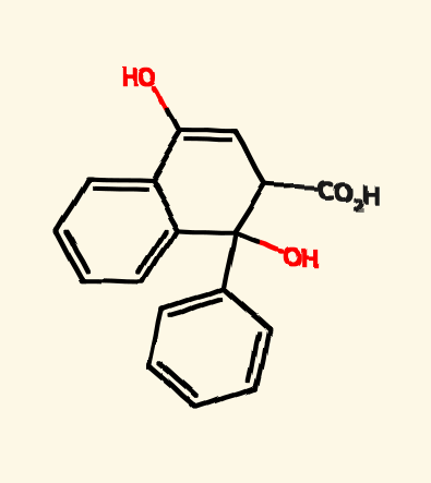 O=C(O)C1C=C(O)c2ccccc2C1(O)c1ccccc1